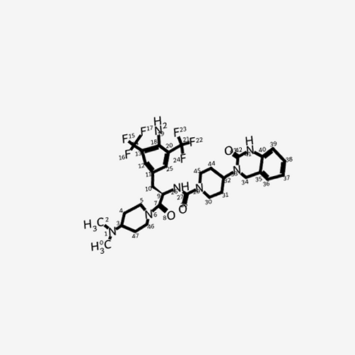 CN(C)C1CCN(C(=O)[C@@H](Cc2cc(C(F)(F)F)c(N)c(C(F)(F)F)c2)NC(=O)N2CCC(N3Cc4ccccc4NC3=O)CC2)CC1